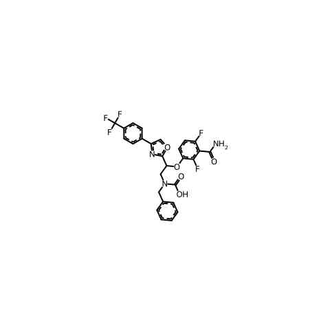 NC(=O)c1c(F)ccc(OC(CN(Cc2ccccc2)C(=O)O)c2nc(-c3ccc(C(F)(F)F)cc3)co2)c1F